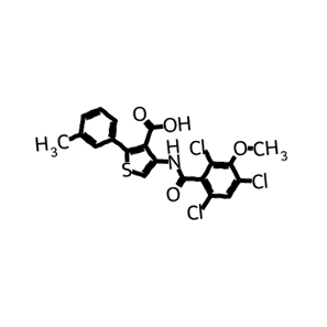 COc1c(Cl)cc(Cl)c(C(=O)Nc2csc(-c3cccc(C)c3)c2C(=O)O)c1Cl